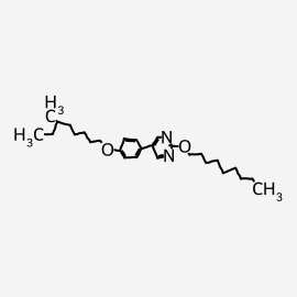 CCCCCCCCCOc1ncc(-c2ccc(OCCCCC[C@@H](C)CC)cc2)cn1